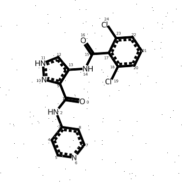 O=C(Nc1ccncc1)c1n[nH]cc1NC(=O)c1c(Cl)cccc1Cl